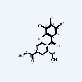 CC(C)(C)OC(=O)N1CCN(C(=O)c2cc(F)c(I)c(Cl)c2F)[C@@H](CO)C1